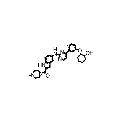 CN1CCN(C(=O)c2cc3cc(Nc4nccc(-c5cc(O[C@H]6CCCCC6O)ccn5)n4)ccc3[nH]2)CC1